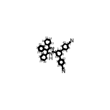 N#CC1=CC=C(C2=CC(C3=NC(C4=CC=CCC4)=C(c4ccccc4)C(C4C=CC=CC4)N3)=CC(c3ccc(C#N)cc3)C2)CC1